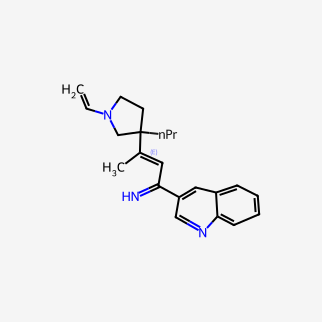 C=CN1CCC(CCC)(/C(C)=C/C(=N)c2cnc3ccccc3c2)C1